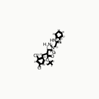 CC(C)(C)OC(=O)C(CC(=O)N(N)Cc1nc2ccccc2[nH]1)Cc1ccc(Cl)cc1Cl